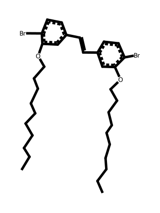 CCCCCCCCCCOc1cc(/C=C/c2ccc(Br)c(OCCCCCCCCCC)c2)ccc1Br